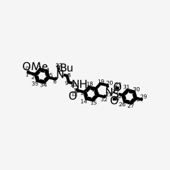 COCc1ccc(CN(CCNC(=O)c2ccc3c(c2)CCN(S(=O)(=O)c2ccc(C)cc2)C3)C(C)(C)C)cc1